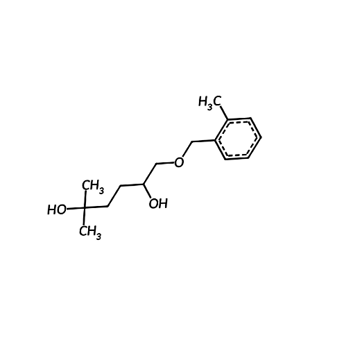 Cc1ccccc1COCC(O)CCC(C)(C)O